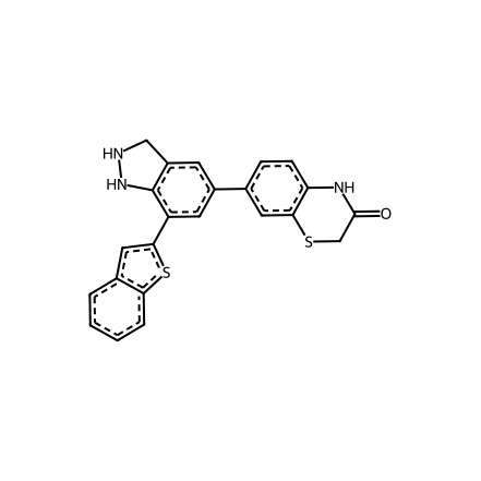 O=C1CSc2cc(-c3cc4c(c(-c5cc6ccccc6s5)c3)NNC4)ccc2N1